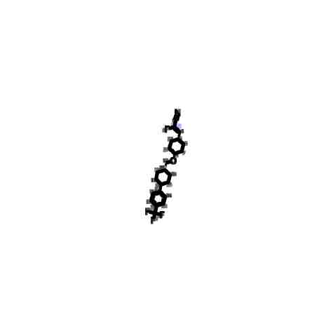 N#C/C(F)=C/[C@H]1CC[C@H](OC[C@H]2CC[C@H](c3ccc(C(F)(F)F)cc3)CC2)CC1